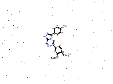 COc1cc(-c2cn3c(-c4ccc(C#N)cc4)cnc3cn2)ccc1C(=O)O